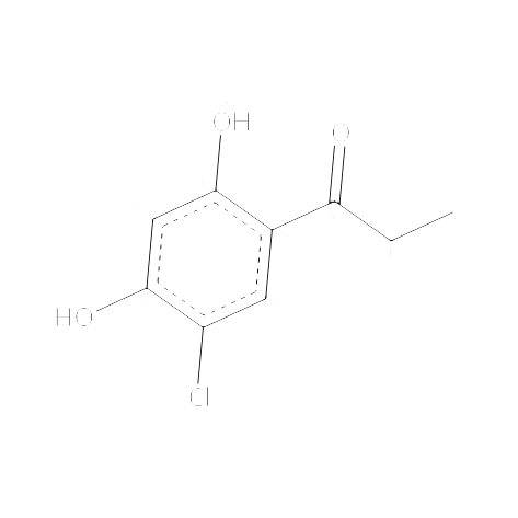 CCC(=O)c1cc(Cl)c(O)cc1O